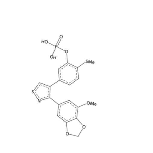 COc1cc(-c2nscc2-c2ccc(SC)c(OP(=O)(O)O)c2)cc2c1OCO2